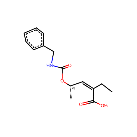 CCC(=C[C@H](C)OC(=O)NCc1ccccc1)C(=O)O